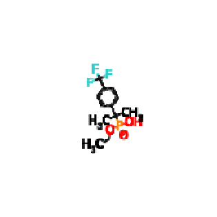 CCOP(=O)(O)C(C)(C)c1ccc(C(F)(F)F)cc1